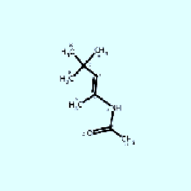 CC(=O)N/C(C)=C/C(C)(C)C